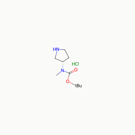 CN(C(=O)OC(C)(C)C)[C@H]1CCNC1.Cl